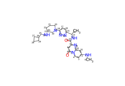 CNc1ccn2c(=O)cc(C(=O)NC(C)c3ccc(N4CCC[C@@H](NCC5CCC5)C4)nn3)nc2c1